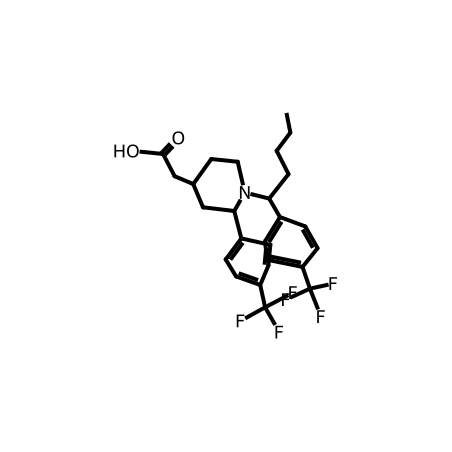 CCCCC(c1ccc(C(F)(F)F)cc1)N1CCC(CC(=O)O)CC1c1ccc(C(F)(F)F)cc1